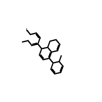 CC/C=C(\C=C/CI)C1C=CC(C2C=CC=CC2C)=C2C=CCCC21